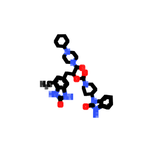 Cc1cc(CC(OC(=O)N2CCC(n3c(=O)[nH]c4ccccc43)CC2)C(=O)N2CCN(C3CCCCC3)CC2)cc2[nH]c(=O)[nH]c12